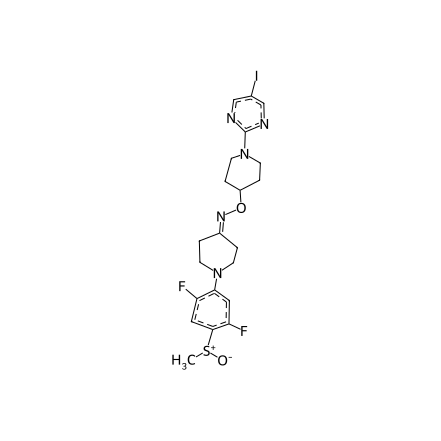 C[S+]([O-])c1cc(F)c(N2CCC(=NOC3CCN(c4ncc(I)cn4)CC3)CC2)cc1F